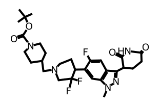 Cn1nc(C2CCC(=O)NC2=O)c2cc(F)c(C3CCN(CC4CCN(C(=O)OC(C)(C)C)CC4)CC3(F)F)cc21